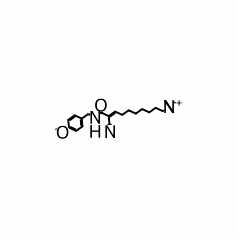 COc1ccc(CNC(=O)/C(C#N)=C/CCCCCCC[N+](C)(C)C)cc1